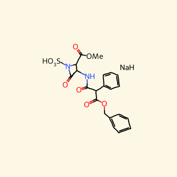 COC(=O)C1C(NC(=O)C(C(=O)OCc2ccccc2)c2ccccc2)C(=O)N1S(=O)(=O)O.[NaH]